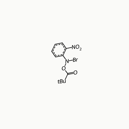 CC(C)(C)C(=O)ON(Br)c1ccccc1[N+](=O)[O-]